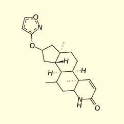 CC1CC2NC(=O)C=C[C@]2(C)[C@@H]2CC[C@]3(C)CC(Oc4ccon4)C[C@H]3[C@H]12